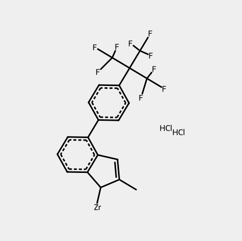 CC1=Cc2c(-c3ccc(C(C(F)(F)F)(C(F)(F)F)C(F)(F)F)cc3)cccc2[CH]1[Zr].Cl.Cl